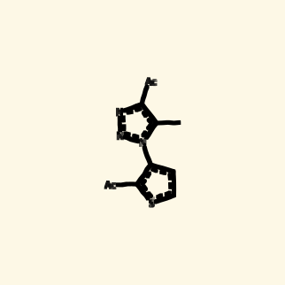 CC(=O)c1nnn(-c2ccsc2C(C)=O)c1C